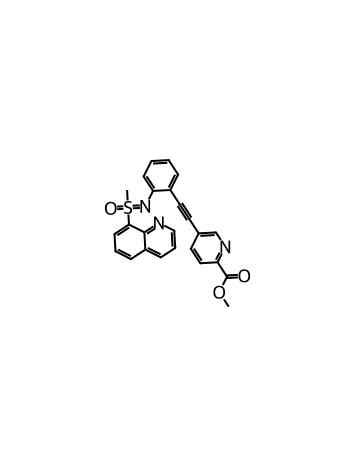 COC(=O)c1ccc(C#Cc2ccccc2N=S(C)(=O)c2cccc3cccnc23)cn1